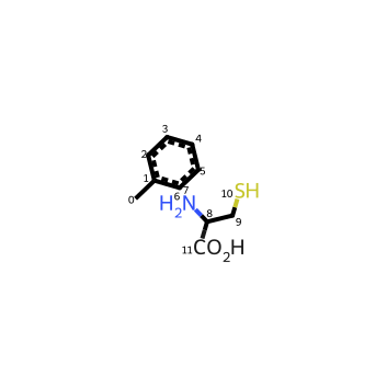 Cc1ccccc1.NC(CS)C(=O)O